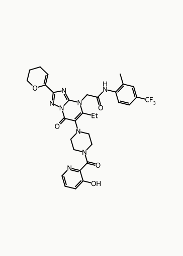 CCc1c(N2CCN(C(=O)c3ncccc3O)CC2)c(=O)n2nc(C3=CCCCO3)nc2n1CC(=O)Nc1ccc(C(F)(F)F)cc1C